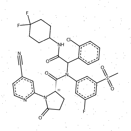 CS(=O)(=O)c1cc(F)cc(N(C(=O)[C@@H]2CCC(=O)N2c2cc(C#N)ccn2)C(C(=O)NC2CCC(F)(F)CC2)c2ccccc2Cl)c1